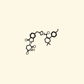 CC1(C)CCC(C(=O)N2CC(Cc3ccc4c(c3)CN(C3CCC(=O)NC3=O)C4=O)C2)=C(c2ccc(F)cc2)C1